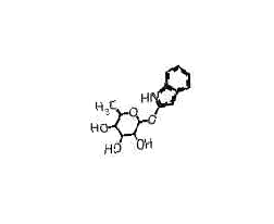 CC1OC(Oc2cc3ccccc3[nH]2)C(O)C(O)C1O